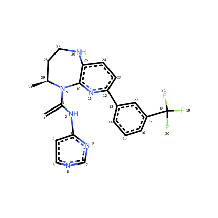 C=C(Nc1ccncn1)N1c2nc(-c3cccc(C(F)(F)F)c3)ccc2NCC[C@@H]1C